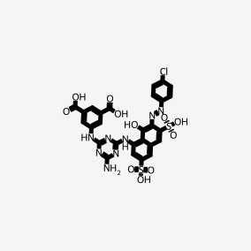 Nc1nc(Nc2cc(C(=O)O)cc(C(=O)O)c2)nc(Nc2cc(S(=O)(=O)O)cc3cc(S(=O)(=O)O)c(/N=N/c4ccc(Cl)cc4)c(O)c23)n1